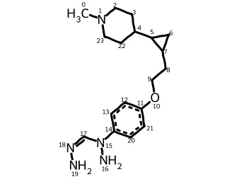 CN1CCC(C2CC2CCOc2ccc(N(N)/C=N\N)cc2)CC1